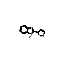 C1=CC(c2nc3ccccc3[nH]2)SS1